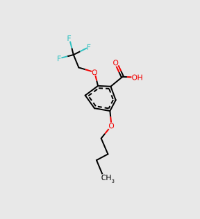 CCCCOc1ccc(OCC(F)(F)F)c(C(=O)O)c1